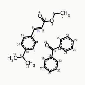 CCOC(=O)/C=C/c1ccc(C(C)C)cc1.O=C(c1ccccc1)c1ccccc1